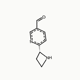 O=Cc1ccc([C@H]2CCN2)nc1